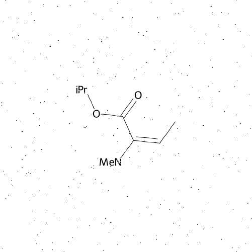 CC=C(NC)C(=O)OC(C)C